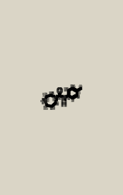 Cc1ccc(NC(=O)N2CCC[N]CC2)cc1